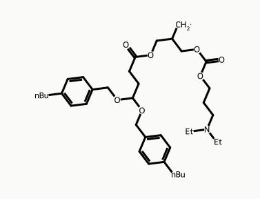 [CH2]C(COC(=O)CCC(OCc1ccc(CCCC)cc1)OCc1ccc(CCCC)cc1)COC(=O)OCCCN(CC)CC